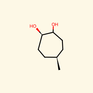 C[C@@H]1CCC(O)[C@H](O)CC1